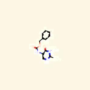 CC(=O)On1c(C)ncc(NC(=O)OCc2ccccc2)c1=O